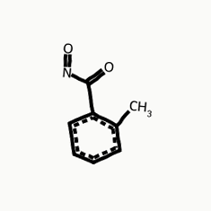 Cc1ccccc1C(=O)N=O